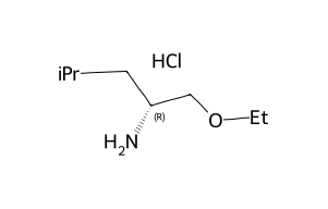 CCOC[C@H](N)CC(C)C.Cl